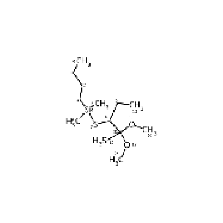 CCCC[Si](C)(C)SC(CC)C([SiH3])(OC)OC